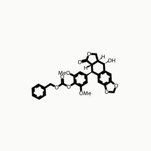 COc1cc([C@@H]2c3cc4c(cc3[C@@H](O)[C@@H]3COC(=O)[C@@H]23)OCO4)cc(OC)c1OC(=O)OCc1ccccc1